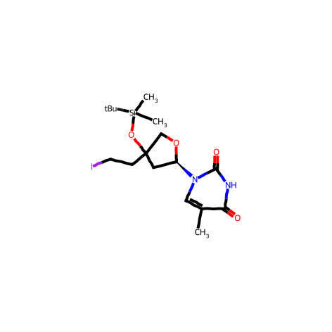 Cc1cn([C@H]2CC(CCI)(O[Si](C)(C)C(C)(C)C)CO2)c(=O)[nH]c1=O